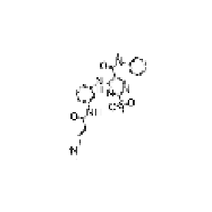 CN(C)CC=CC(=O)Nc1cccc(Nc2nc(S(C)(=O)=O)ncc2C(=O)N(C)c2ccccc2)c1